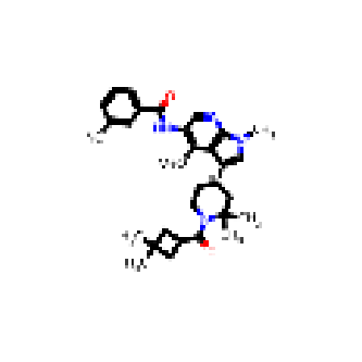 COc1c(NC(=O)c2cccc(C#N)c2)cnc2c1c([C@@H]1CCN(C(=O)C3CC(C)(C)C3)C(C)(C)C1)cn2C